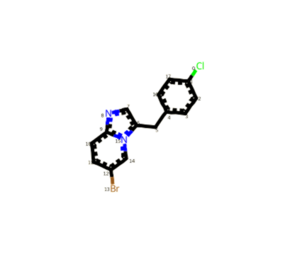 Clc1ccc(Cc2cnc3ccc(Br)cn23)cc1